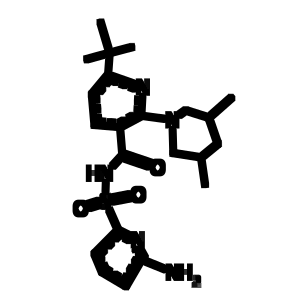 CC1CC(C)CN(c2nc(C(C)(C)C)ccc2C(=O)NS(=O)(=O)c2cccc(N)n2)C1